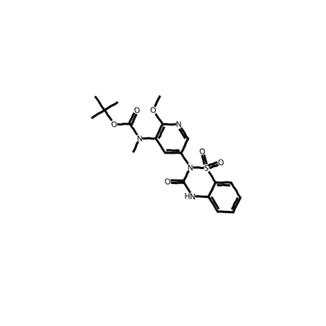 COc1ncc(N2C(=O)Nc3ccccc3S2(=O)=O)cc1N(C)C(=O)OC(C)(C)C